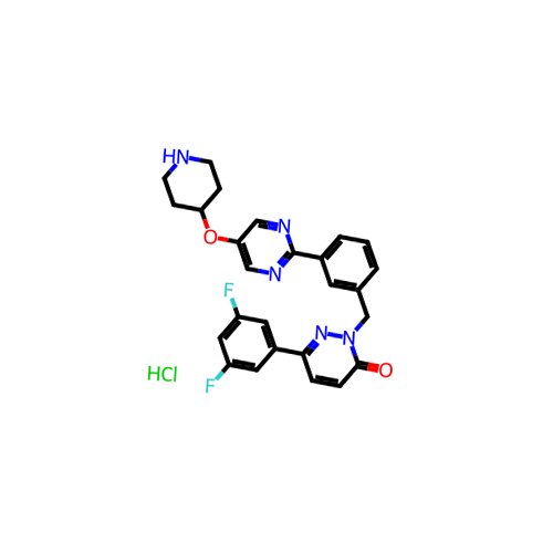 Cl.O=c1ccc(-c2cc(F)cc(F)c2)nn1Cc1cccc(-c2ncc(OC3CCNCC3)cn2)c1